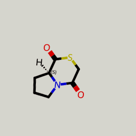 O=C1SCC(=O)N2CCC[C@@H]12